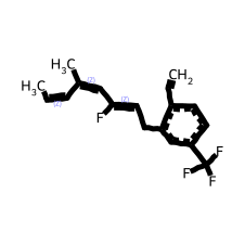 C=Cc1ccc(C(F)(F)F)cc1C/C=C(F)/C=C(C)\C=C/C